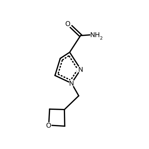 NC(=O)c1ccn(CC2COC2)n1